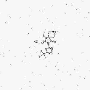 CC(C)N1C(=O)N(c2cc(C(F)(F)F)ccn2)C(=O)C12CCNCC2.Cl